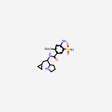 CCS(=O)(=O)c1cc(C(=O)NC(CC2CC2)C2CCCN2)c(OC)cc1N